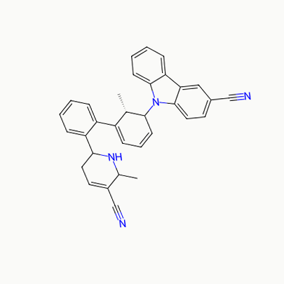 CC1NC(c2ccccc2C2=CC=CC(n3c4ccccc4c4cc(C#N)ccc43)[C@H]2C)CC=C1C#N